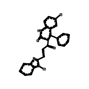 CCn1c(/C=C/C(=O)c2c(-c3ccccc3)c3cc(Cl)ccc3[nH]c2=O)nc2ccccc21